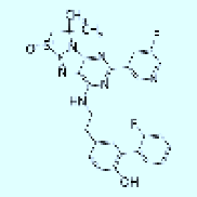 CC1(C)C[S+]([O-])c2nc3c(NCCc4ccc(O)c(-c5ccccc5F)c4)nc(-c4cncc(F)c4)nc3n21